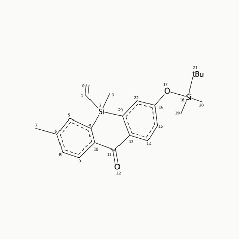 C=C[Si]1(C)c2cc(C)ccc2C(=O)c2ccc(O[Si](C)(C)C(C)(C)C)cc21